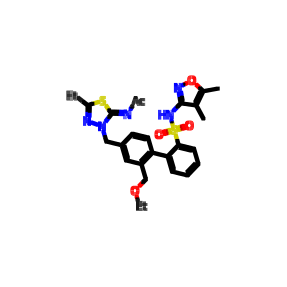 CCOCc1cc(Cn2nc(CC)sc2=NC(C)=O)ccc1-c1ccccc1S(=O)(=O)Nc1noc(C)c1C